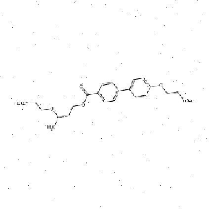 CCCCCCCCCCCCOc1ccc(-c2ccc(C(=O)OCCC(C)OCCCCCCCCCCCC)cc2)cc1